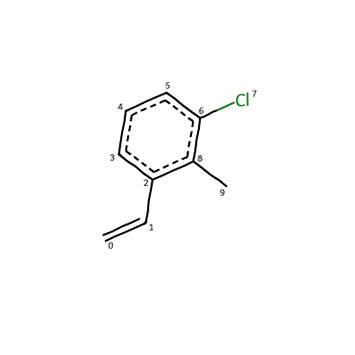 C=Cc1cccc(Cl)c1C